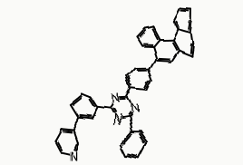 c1ccc(-c2nc(-c3ccc(-c4cc5ccc6ccccc6c5c5ccccc45)cc3)nc(-c3cccc(-c4cccnc4)c3)n2)cc1